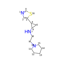 c1ncc(C2CC2NCCN2CCCCC2)s1